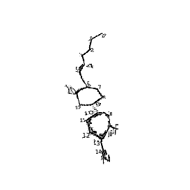 CCCC/C=C/[C@H]1CC[C@H](c2ccc(C#N)c(F)c2)CC1